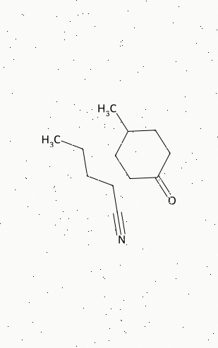 CC1CCC(=O)CC1.CCCCC#N